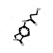 CC(=O)CCC(=O)Nc1ccc2c(c1)CNC2=O